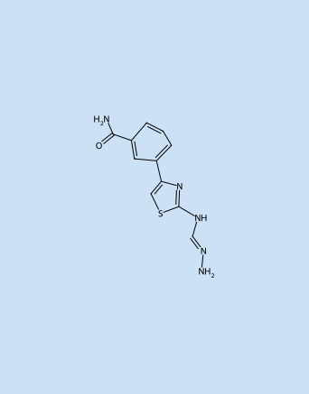 NN=CNc1nc(-c2cccc(C(N)=O)c2)cs1